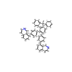 CC1(c2ccccc2)c2ccccc2-c2c1ccc(-c1ccc(-c3cccc4ccncc34)cc1)c2-c1ccc(-c2cccc3ccncc23)cc1